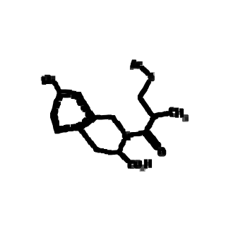 CC(=O)SCC(C)C(=O)N1Cc2cc(C(C)(C)C)ccc2CC1C(=O)O